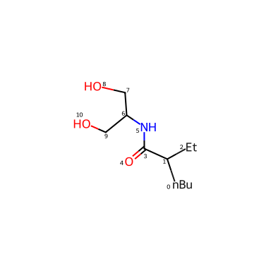 CCCCC(CC)C(=O)NC(CO)CO